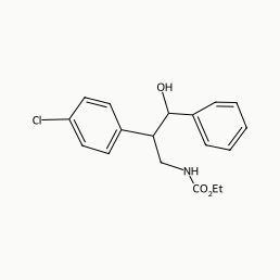 CCOC(=O)NCC(c1ccc(Cl)cc1)C(O)c1ccccc1